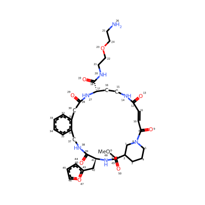 COC[C@@]12CCCN(C1)C(=O)/C=C/C(=O)NCC[C@@H](C(=O)NCCOCCN)NC(=O)Cc1ccccc1CNC(=O)[C@H](Cc1ccco1)NC2=O